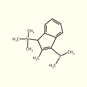 CC1=C(P(C)C)c2ccccc2[CH]1[Sn]([CH3])([CH3])[CH3]